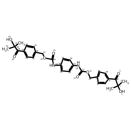 CC(C)(O)C(=O)c1ccc(COC(=O)Nc2ccc(NC(=O)OCc3ccc(C(=O)C(C)(C)O)cc3)cc2)cc1